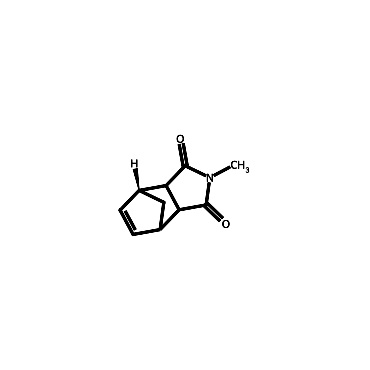 CN1C(=O)C2C3C=C[C@@H](C3)C2C1=O